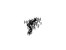 C/C(=N\O)NC(=O)c1ccc(O)c2c1C(C)(C)CN2c1ccccc1NC(=O)Nc1ccc(OC(F)(F)F)cc1